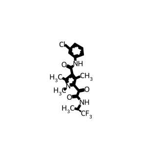 Cc1c(C(=O)Nc2cccc(Cl)c2)c(C)n(C)c1C(=O)C(=O)N[C@H](C)C(F)(F)F